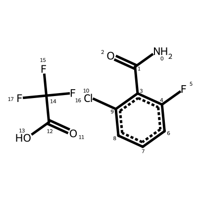 NC(=O)c1c(F)cccc1Cl.O=C(O)C(F)(F)F